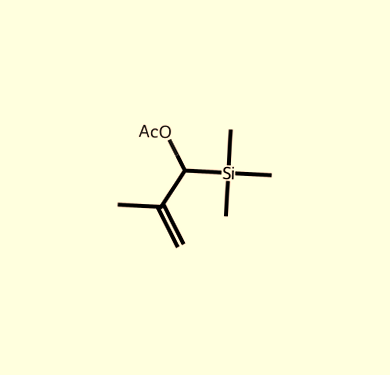 C=C(C)C(OC(C)=O)[Si](C)(C)C